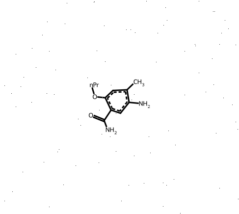 [CH2]CCOc1cc(C)c(N)cc1C(N)=O